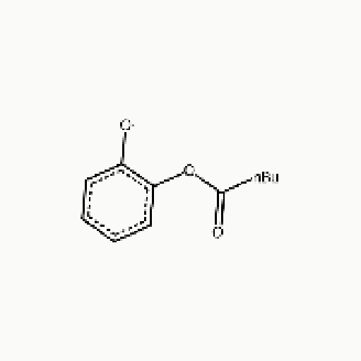 CCCCC(=O)Oc1ccccc1[O]